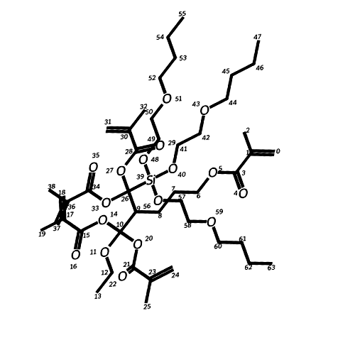 C=C(C)C(=O)OCCCC(C(OCC)(OC(=O)C(=C)C)OC(=O)C(=C)C)C(OC(=O)C(=C)C)(OC(=O)C(=C)C)[Si](OCCOCCCC)(OCCOCCCC)OCCOCCCC